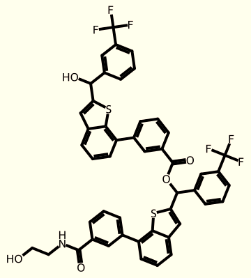 O=C(NCCO)c1cccc(-c2cccc3cc(C(OC(=O)c4cccc(-c5cccc6cc(C(O)c7cccc(C(F)(F)F)c7)sc56)c4)c4cccc(C(F)(F)F)c4)sc23)c1